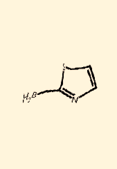 Bc1nccs1